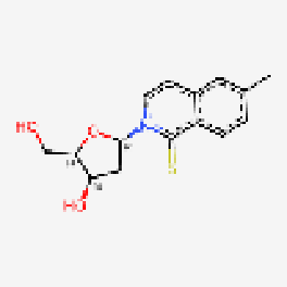 Cc1ccc2c(=S)n([C@H]3C[C@@H](O)[C@@H](CO)O3)ccc2c1